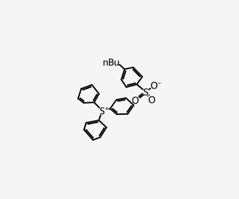 CCCCc1ccc(S(=O)(=O)[O-])cc1.c1ccc([S+](c2ccccc2)c2ccccc2)cc1